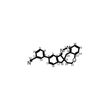 N#C/N=C1/c2cc(-c3cccc(C#N)c3)ccc2CC12CCOc1ccccc1C2